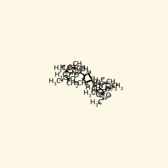 C=P(OCC)(OCC)C(N(OC(C)c1ccc(C(C)ON(C(C(C)(C)C)P(=O)(OCC)OCC)C(C)(C)C)cc1)C(C)(C)C)C(C)(C)C